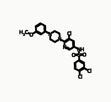 COc1cccc(N2CCN(c3ncc(NS(=O)(=O)c4ccc(Cl)c(Cl)c4)cc3Cl)CC2)c1